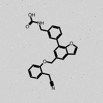 N#CCc1ccccc1OCc1cc(-c2cccc(CNC(=O)O)c2)c2occc2c1